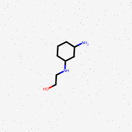 NC1[CH]C(NCCO)CCC1